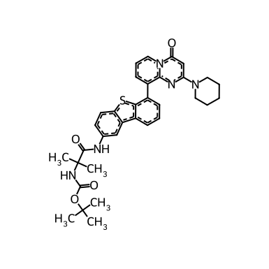 CC(C)(C)OC(=O)NC(C)(C)C(=O)Nc1ccc2sc3c(-c4cccn5c(=O)cc(N6CCCCC6)nc45)cccc3c2c1